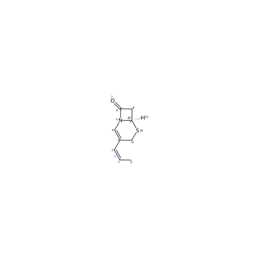 C/C=C\C1=CN2C(=O)C[C@H]2SC1